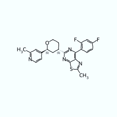 Cc1cc([C@@H]2C[C@@H](c3nc(-c4ccc(F)cc4F)c4nc(C)sc4n3)CCO2)ccn1